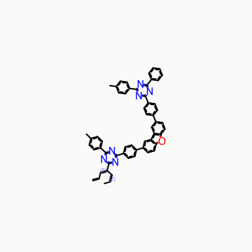 C=C/C=C(\C=C/C)c1nc(-c2ccc(C)cc2)nc(-c2ccc(-c3ccc4oc5ccc(-c6ccc(-c7nc(-c8ccccc8)nc(-c8ccc(C)cc8)n7)cc6)cc5c4c3)cc2)n1